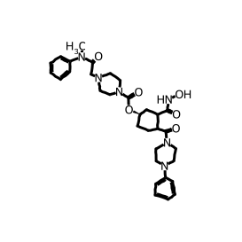 CN(C(=O)CN1CCN(C(=O)O[C@@H]2CCC(C(=O)N3CCN(c4ccccc4)CC3)C(C(=O)NO)C2)CC1)c1ccccc1